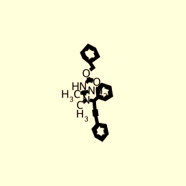 CN(C(C#Cc1ccccc1)c1ccccc1)C(C)(N)NC(=O)OCc1ccccc1